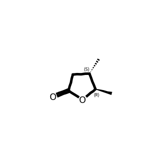 C[C@H]1CC(=O)O[C@@H]1C